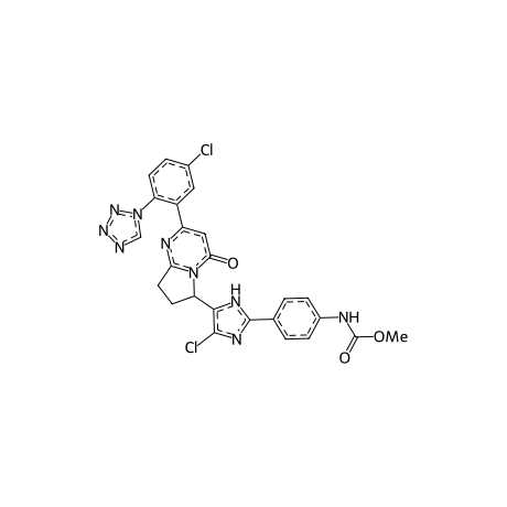 COC(=O)Nc1ccc(-c2nc(Cl)c(C3CCc4nc(-c5cc(Cl)ccc5-n5cnnn5)cc(=O)n43)[nH]2)cc1